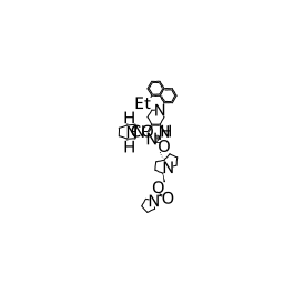 CCc1cccc2cccc(N3CCc4c(nc(OC[C@]56CCCN5[C@@H](COC(=O)N5CCCC5)CC6)nc4N4C[C@H]5CC[C@@H](C4)N5C(=O)O)C3)c12